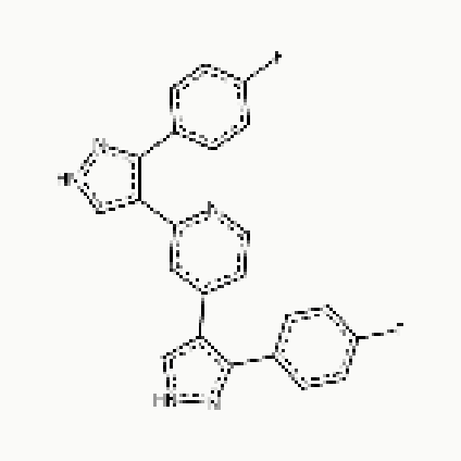 Fc1ccc(-c2n[nH]cc2-c2ccnc(-c3c[nH]nc3-c3ccc(F)cc3)c2)cc1